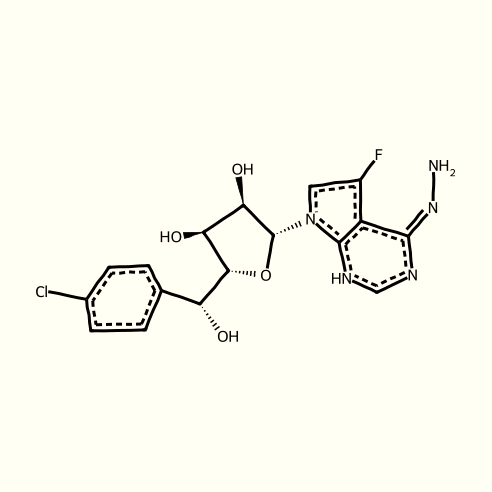 N/N=c1/nc[nH]c2c1c(F)cn2[C@@H]1O[C@H]([C@H](O)c2ccc(Cl)cc2)[C@@H](O)[C@H]1O